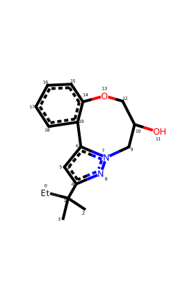 CCC(C)(C)c1cc2n(n1)CC(O)COc1ccccc1-2